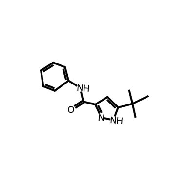 CC(C)(C)c1cc(C(=O)Nc2ccccc2)n[nH]1